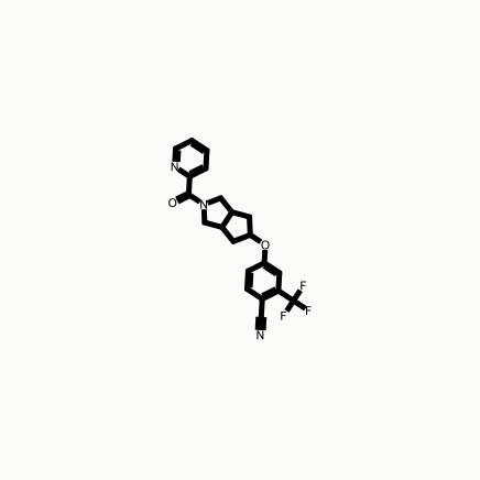 N#Cc1ccc(OC2CC3CN(C(=O)c4ccccn4)CC3C2)cc1C(F)(F)F